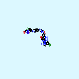 COc1cc2nc(C)nc(N[C@H](C)c3cc(NC(C)C)cc(C(F)(F)F)c3)c2cc1C1CCC(C(=O)N2CCN(CC3CCC4(CC3)CCN(C(=O)c3ccc(Cl)c(-n5ccc(=O)[nH]c5=O)c3)CC4)CC2)CC1